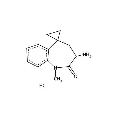 CN1C(=O)C(N)CC2(CC2)c2ccccc21.Cl